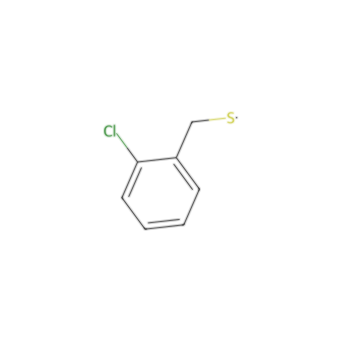 [S]Cc1ccccc1Cl